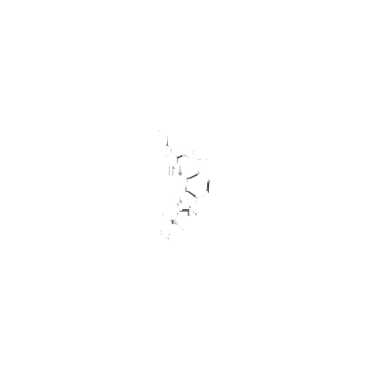 CCOC(=O)Nc1c(F)ccc2nc(C(C)(C)OC)oc12